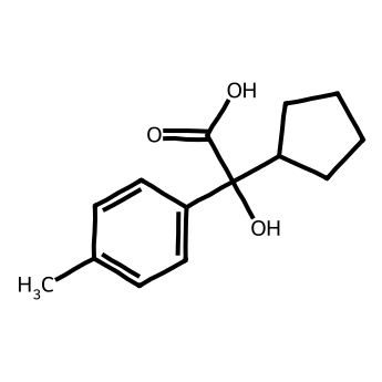 Cc1ccc(C(O)(C(=O)O)C2CCCC2)cc1